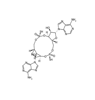 Nc1ncnc2c1ncn2[C@@H]1O[C@@H]2CO[P@@](=O)(S)O[C@@H]3[C@H](O)[C@@H](CO[P@@](=O)(S)O[C@H]2[C@H]1O)O[C@H]3n1cnc2c(N)ncnc21